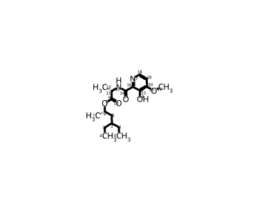 CCC(CC)C[C@H](C)OC(=O)[C@H](C)NC(=O)c1nccc(OC)c1O